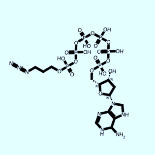 [N-]=[N+]=NCCCOP(=O)(O)OP(=O)(O)OP(=O)(O)OP(=O)(O)OP(=O)(O)OP(=O)(O)OC[C@H]1O[C@@H](N2CNC3=C2N=CNC3N)C[C@H]1O